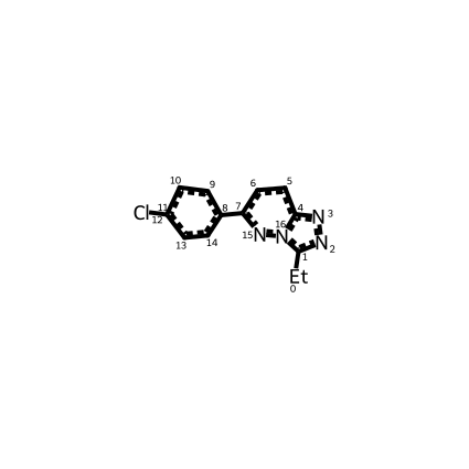 CCc1nnc2ccc(-c3ccc(Cl)cc3)nn12